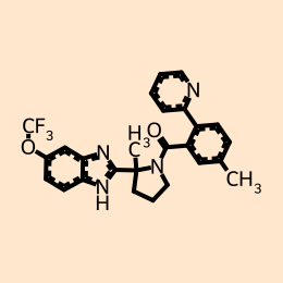 Cc1ccc(-c2ccccn2)c(C(=O)N2CCCC2(C)c2nc3cc(OC(F)(F)F)ccc3[nH]2)c1